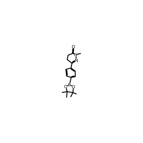 CN1N=C(c2ccc(B3OC(C)(C)C(C)(C)O3)cc2)CCC1=O